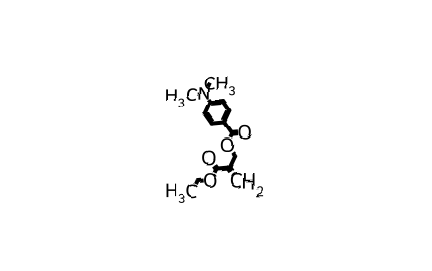 C=C(COC(=O)c1ccc(N(C)C)cc1)C(=O)OCC